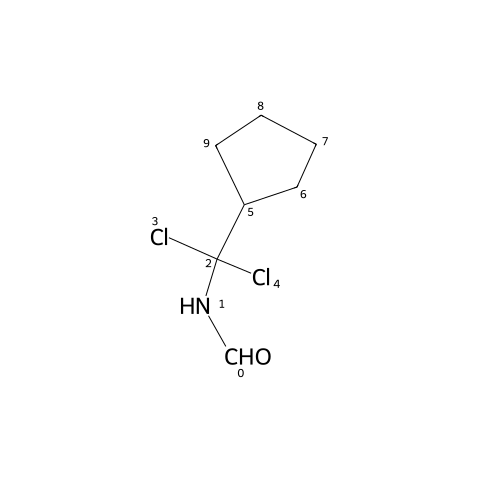 O=CNC(Cl)(Cl)C1CCCC1